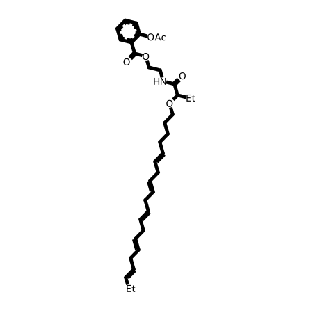 CCC=CCC=CCC=CCC=CCC=CCCCCOC(CC)C(=O)NCCOC(=O)c1ccccc1OC(C)=O